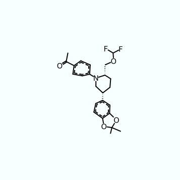 CC(=O)c1ccc(N2C[C@@H](c3ccc4c(c3)OC(C)(C)O4)CC[C@H]2COC(F)F)cc1